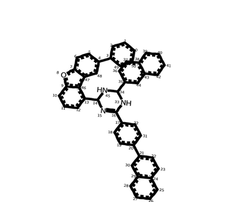 c1ccc(-c2ccc3oc4cccc(C5N=C(c6ccc(-c7ccc8ccccc8c7)cc6)NC(c6ccc7ccccc7c6)N5)c4c3c2)cc1